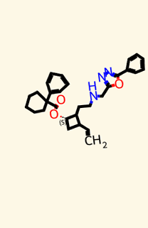 C=CC1C[C@H](OC(=O)C2(c3ccccc3)CCCCC2)C1CCNCc1nnc(-c2ccccc2)o1